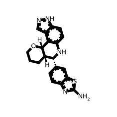 Nc1nc2ccc([C@H]3Nc4ccc5[nH]ncc5c4[C@H]4OCCC[C@@H]34)cc2s1